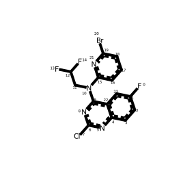 Fc1ccc2nc(Cl)nc(N(CC(F)F)c3cccc(Br)n3)c2c1